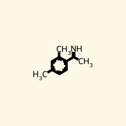 CC(=N)c1ccc(C)cc1C